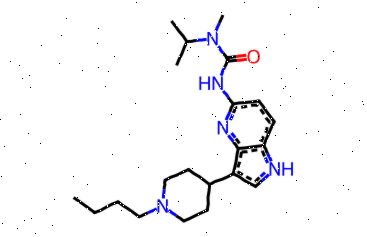 CCCCN1CCC(c2c[nH]c3ccc(NC(=O)N(C)C(C)C)nc23)CC1